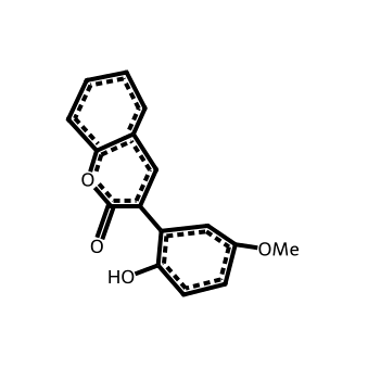 COc1ccc(O)c(-c2cc3ccccc3oc2=O)c1